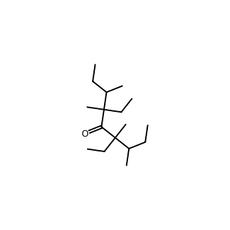 CCC(C)C(C)(CC)C(=O)C(C)(CC)C(C)CC